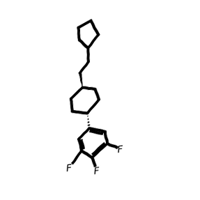 Fc1cc([C@H]2CC[C@H](CCC3CCCC3)CC2)cc(F)c1F